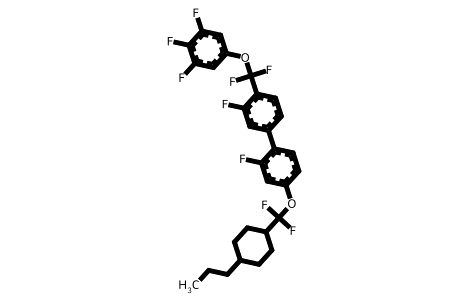 CCCC1CCC(C(F)(F)Oc2ccc(-c3ccc(C(F)(F)Oc4cc(F)c(F)c(F)c4)c(F)c3)c(F)c2)CC1